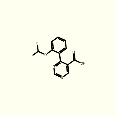 O=C(O)c1cncnc1-c1ccccc1OC(F)F